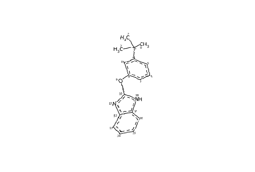 CC(C)(C)c1cccc(Oc2nc3ccccc3[nH]2)c1